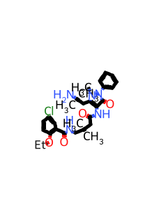 CCOc1ccc(Cl)cc1C(=O)NCC(C)(C)CC(=O)Nc1c(CC(C)(C)N)n(C)n(-c2ccccc2)c1=O